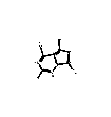 Cc1nc(O)c2c(C)cc(Cl)n2n1